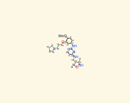 COc1ccc(Nc2nccc(NCC3C(C)NOC3C)n2)cc1OCCCN1CCCC1